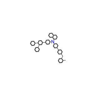 Cc1ccccc1Cc1ccc(-c2ccc(N(c3ccc(-c4ccc(-c5ccccc5)c(-c5ccccc5)c4)cc3)c3cccc4ccccc34)cc2)cc1